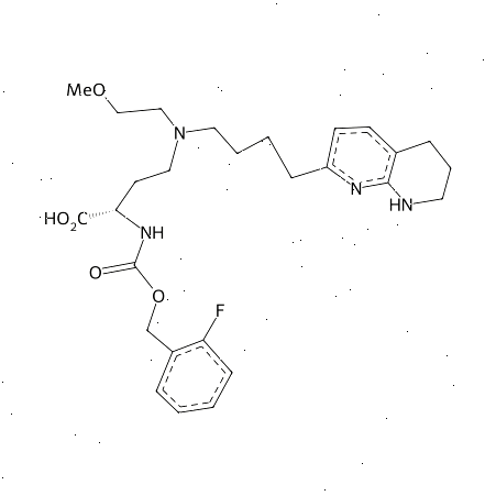 COCCN(CCCCc1ccc2c(n1)NCCC2)CC[C@H](NC(=O)OCc1ccccc1F)C(=O)O